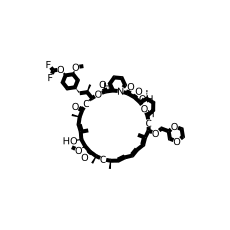 CO[C@@H]1C[C@H](C[C@@H](C)[C@@H]2CC(=O)[C@H](C)/C=C(\C)[C@@H](O)[C@@H](OC)C(=O)[C@H](C)C[C@H](C)/C=C/C=C/C=C(\C)C(OCC3COCCO3)C[C@@H]3CC[C@@H](C)[C@@](O)(O3)C(=O)C(=O)N3CCCC[C@H]3C(=O)O2)CC[C@H]1OC(F)F